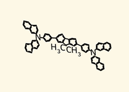 CC1(C)c2cc(-c3ccc(N(c4ccc5ccccc5c4)c4ccc5ccccc5c4)cc3)ccc2-c2ccc(-c3ccc(N(c4ccc5ccccc5c4)c4ccc5ccccc5c4)cc3)cc21